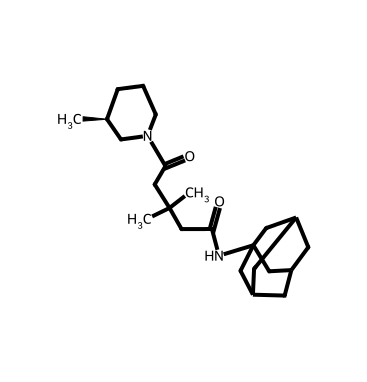 C[C@H]1CCCN(C(=O)CC(C)(C)CC(=O)NC23CC4CC(CC(C4)C2)C3)C1